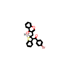 CC1(Cc2coc3ccccc3c2=O)Sc2ccccc2C1C(=O)c1ccc(Br)cc1